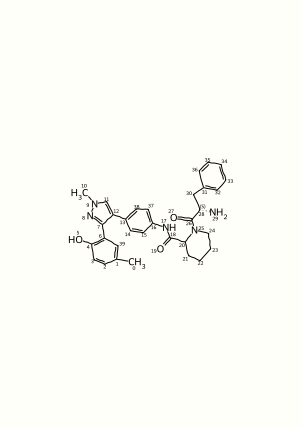 Cc1ccc(O)c(-c2nn(C)cc2-c2ccc(NC(=O)C3CCCCN3C(=O)[C@@H](N)Cc3ccccc3)cc2)c1